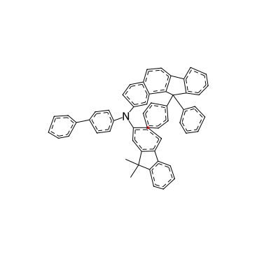 CC1(C)c2ccccc2-c2ccc(N(c3ccc(-c4ccccc4)cc3)c3ccc4ccc5c(c4c3)C(c3ccccc3)(c3ccccc3)c3ccccc3-5)cc21